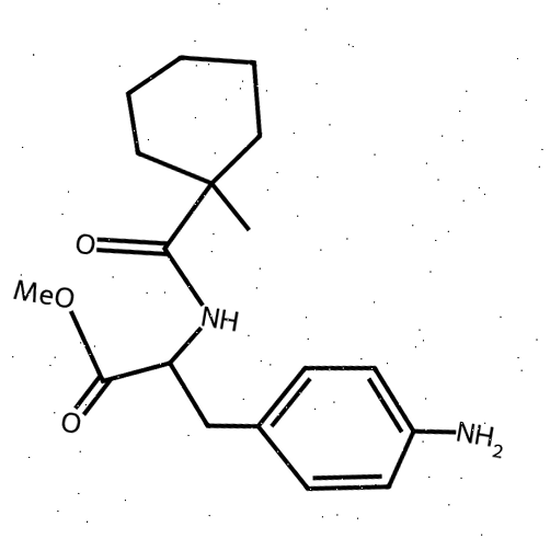 COC(=O)C(Cc1ccc(N)cc1)NC(=O)C1(C)CCCCC1